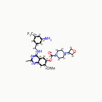 COc1cc2nc(C)nc(NCc3cc(N)cc(C(F)(F)F)c3)c2cc1OC(=O)N1CCN(C2COC2)CC1